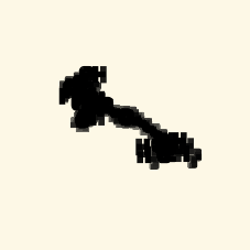 C#Cc1c(F)ccc2cc(O)cc(-c3ncc4c(N5CC6CCC(C5)N6)nc(OCCCN5CCN(CCCCCCCC(=O)NC(C)C(C)(C)C)CC5)nc4c3F)c12